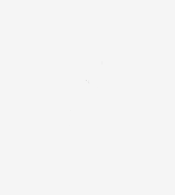 O=C(O)C1CCC2CC(OS(=O)(=O)C(F)(F)F)=CC(=O)N21